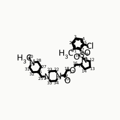 Cc1cccc(Cl)c1S(=O)(=O)N1CCCC1COCC(=O)N1CCN(CC2CCN(C)CC2)CC1